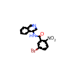 O=C(Nc1cncc2ccccc12)c1cc(Br)ccc1[N+](=O)[O-]